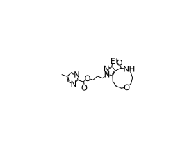 CCc1nn(CCCOC(=O)c2ncc(C)cn2)c2c1C(=O)NCCCOCCC2